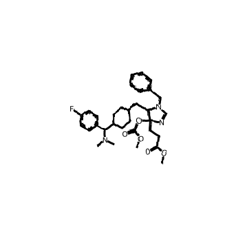 COC(=O)CCC1(OC(=O)OC)N=CN(Cc2ccccc2)C1CC1CCC(C(c2ccc(F)cc2)N(C)C)CC1